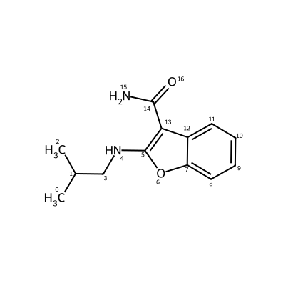 CC(C)CNc1oc2ccccc2c1C(N)=O